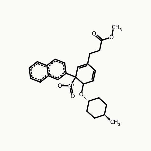 COC(=O)CCC1=CC(c2ccc3ccccc3c2)([N+](=O)[O-])C(O[C@H]2CC[C@H](C)CC2)C=C1